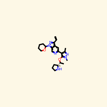 C=Cc1nn(C2CCCCO2)c2cnc(-c3c(C)nn(C)c3OC(C)[C@H]3CCCN3)cc12